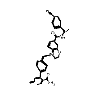 C=C/C=C(\C(=C/C)C(N)=O)c1ccc(CN2CCOc3cc(C(=O)N[C@H](C)c4ccc(C#N)cc4)ccc32)cc1